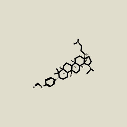 CC(C)[C@@H]1CC[C@]2(NCCN(C)C)CC[C@]3(C)[C@H](CC[C@@H]4[C@@]5(C)CC[C@H](c6ccc(OC=O)cc6)C(C)(C)[C@@H]5CC[C@]43C)[C@@H]12